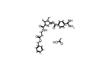 CC(=O)O.CC1C(C(=O)NCCC(=O)OCc2ccccc2)SC(=NC(=O)c2ccc(C(=N)N)cc2)N1C